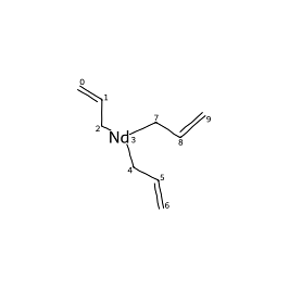 C=C[CH2][Nd]([CH2]C=C)[CH2]C=C